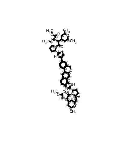 CC[C@H]1CC[C@@H](c2ncc(-c3ccc4c(c3)COc3cc5c(ccc6nc([C@@H]7CC[C@@H]8C[C@@H]9CC(C[C@@H](C)O9)[C@H](NC(=O)OC)C(=O)N87)[nH]c65)cc3-4)[nH]2)N1C(=O)C(NC(=O)OC)C1C[C@@H](C)O[C@H](C)C1